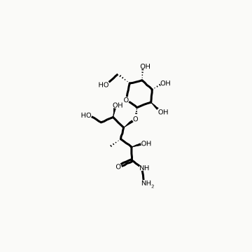 C[C@H]([C@H](O[C@@H]1O[C@H](CO)[C@H](O)[C@H](O)[C@H]1O)[C@H](O)CO)[C@@H](O)C(=O)NN